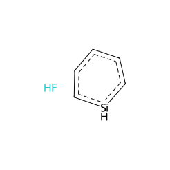 F.c1cc[siH]cc1